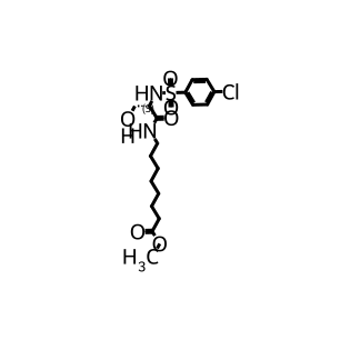 COC(=O)CCCCCCCNC(=O)[C@H](CO)NS(=O)(=O)c1ccc(Cl)cc1